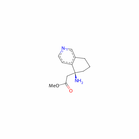 COC(=O)C[C@@]1(N)CCCc2cnccc21